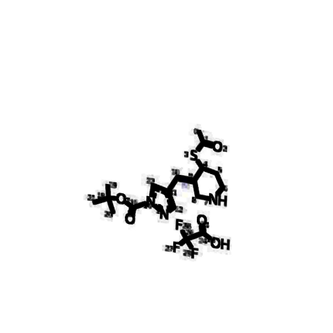 CC(=O)SC1CCNC/C1=C\c1cnn(C(=O)OC(C)(C)C)c1.O=C(O)C(F)(F)F